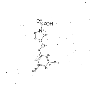 O=C(O)N1CCC(OCc2cc(F)cc(F)c2)C1